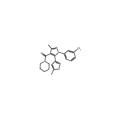 Cc1cc(-c2c(C(=O)N3CCCCC3)c(C)nn2-c2cccc(C(F)(F)F)c2)no1